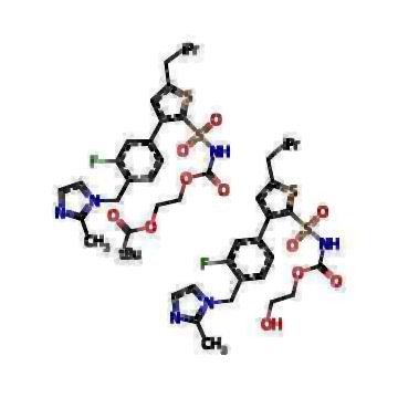 Cc1nccn1Cc1ccc(-c2cc(CC(C)C)sc2S(=O)(=O)NC(=O)OCCO)cc1F.Cc1nccn1Cc1ccc(-c2cc(CC(C)C)sc2S(=O)(=O)NC(=O)OCCOC(=O)C(C)(C)C)cc1F